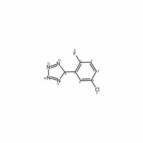 Fc1ccc(Cl)cc1C1N=NN=N1